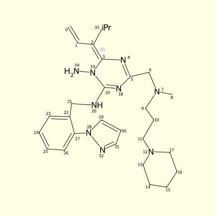 C=C/C(=C1/N=C(CN(C)CCCN2CCCCC2)N=C(NCc2ccccc2-n2cccn2)N1N)C(C)C